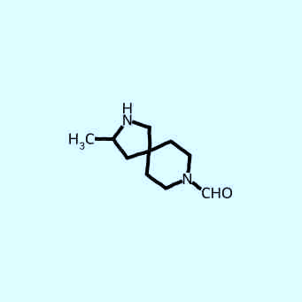 CC1CC2(CCN(C=O)CC2)CN1